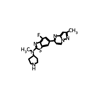 Cc1cc2nc(-c3cc(F)c4nc(N(C)C5CCNCC5)sc4c3)ccn2n1